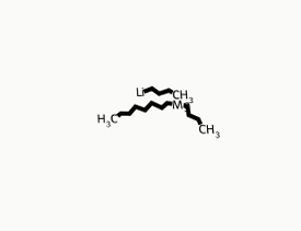 CCCCCCC[CH2][Mg][CH2]CCC.[Li][CH2]CCC